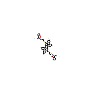 COc1cc(/C=C2\C(=O)c3cc(F)c(F)cc3C2=C(C#N)C#N)sc1-c1cc2c(s1)-c1cc3c(cc1C2(c1ccc(C)cc1)c1ccc(C)cc1)-c1sc(-c2sc(/C=C4\C(=O)c5cc(C#N)c(C#N)cc5C4=C(C#N)C#N)cc2OC)cc1C3(c1ccc(C)cc1)c1ccc(C)cc1